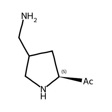 CC(=O)[C@@H]1CC(CN)CN1